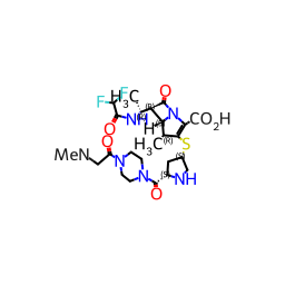 CNCC(=O)N1CCN(C(=O)[C@@H]2C[C@H](SC3=C(C(=O)O)N4C(=O)[C@H]([C@@H](C)NC(=O)C(F)F)[C@H]4[C@H]3C)CN2)CC1